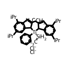 C[SiH2][Ti]([c]1ccccc1)([CH]1C(C)=Cc2c(C(C)C)cc(C(C)C)cc21)[CH]1C(C)=Cc2c(C(C)C)cc(C(C)C)cc21.[Cl-].[Cl-]